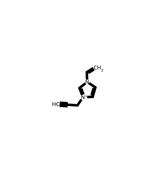 C#CC[n+]1ccn(C=C)c1